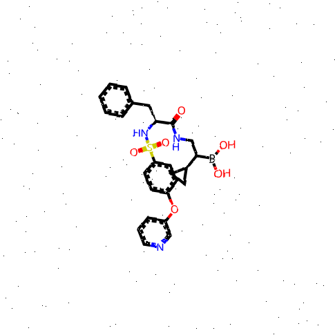 O=C(NCC(B(O)O)C1CC1)[C@H](Cc1ccccc1)NS(=O)(=O)c1ccc(Oc2cccnc2)cc1